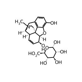 CN1CC[C@]23c4c5ccc(O)c4O[C@H]2[C@@H](O)C=C[C@H]3[C@H]1C5.O=C(O)[C@H]1O[C@H](O)[C@H](O)[C@@H](O)[C@@H]1O